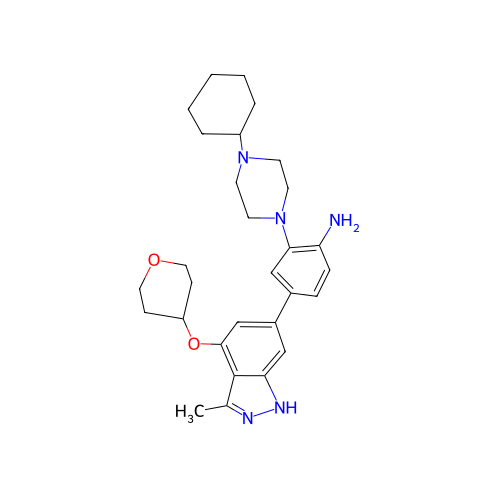 Cc1n[nH]c2cc(-c3ccc(N)c(N4CCN(C5CCCCC5)CC4)c3)cc(OC3CCOCC3)c12